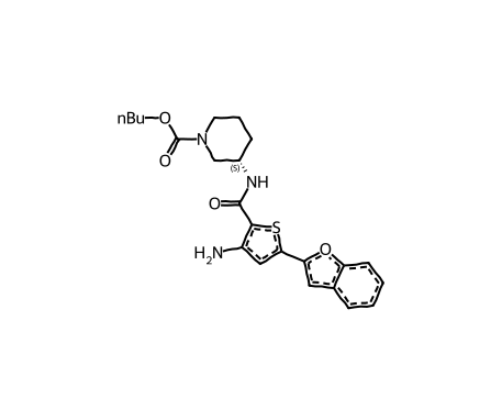 CCCCOC(=O)N1CCC[C@H](NC(=O)c2sc(-c3cc4ccccc4o3)cc2N)C1